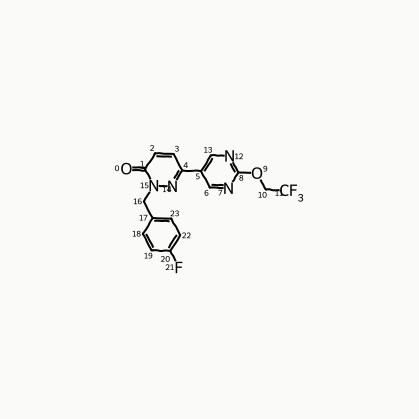 O=c1ccc(-c2cnc(OCC(F)(F)F)nc2)nn1Cc1ccc(F)cc1